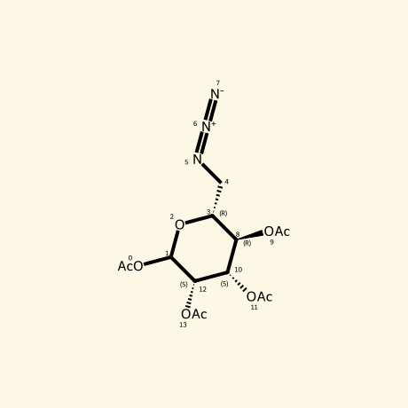 CC(=O)OC1O[C@H](CN=[N+]=[N-])[C@@H](OC(C)=O)[C@H](OC(C)=O)[C@@H]1OC(C)=O